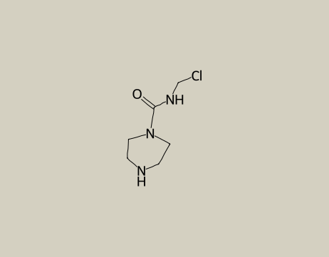 O=C(NCCl)N1CCNCC1